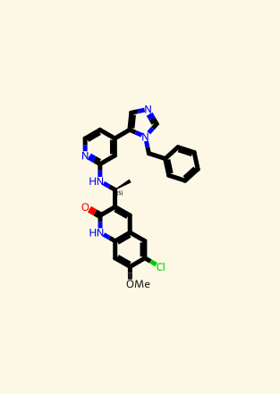 COc1cc2[nH]c(=O)c([C@H](C)Nc3cc(-c4cncn4Cc4ccccc4)ccn3)cc2cc1Cl